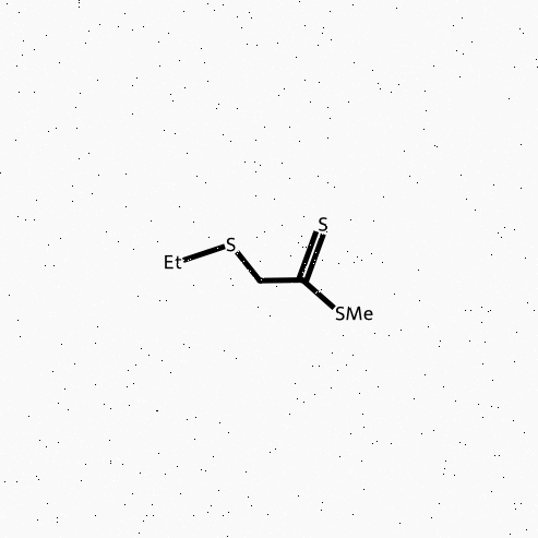 CCSCC(=S)SC